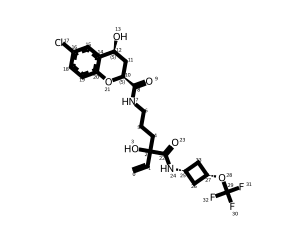 C=CC(O)(CCCNC(=O)[C@@H]1C[C@H](O)c2cc(Cl)ccc2O1)C(=O)N[C@H]1C[C@@H](OC(F)(F)F)C1